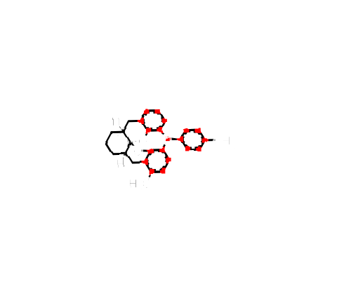 Cc1ccc(P(c2ccc(C)cc2)c2cccc3c2O[C@]24Oc5c(cccc5P(c5ccccc5)c5ccccc5)C[C@H]2CCC[C@@H]4C3)cc1